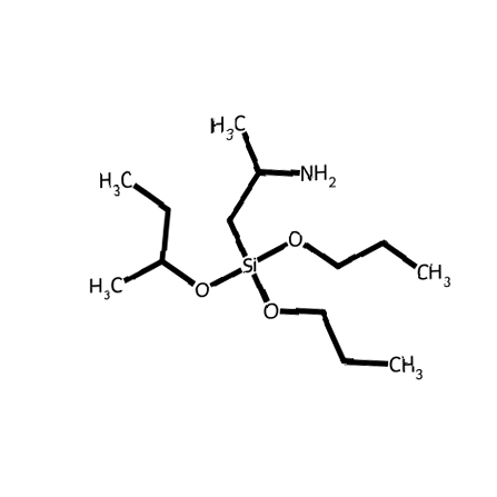 CCCO[Si](CC(C)N)(OCCC)OC(C)CC